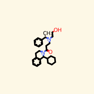 C[C@@H](c1ccccc1)N(CCO)CCC(=O)N1CCc2ccccc2C1C1CCCCC1